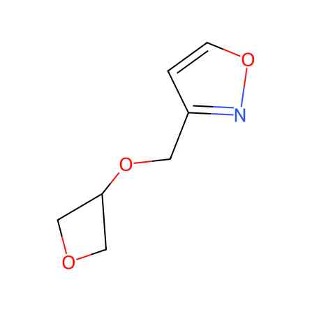 c1cc(COC2COC2)no1